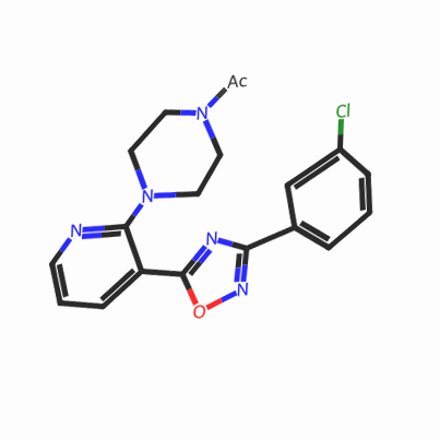 CC(=O)N1CCN(c2ncccc2-c2nc(-c3cccc(Cl)c3)no2)CC1